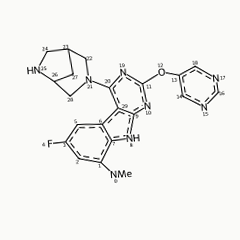 CNc1cc(F)cc2c1[nH]c1nc(Oc3cncnc3)nc(N3CC4CNC(C4)C3)c12